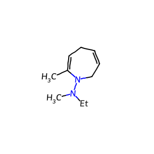 CCN(C)N1CC=CCC=C1C